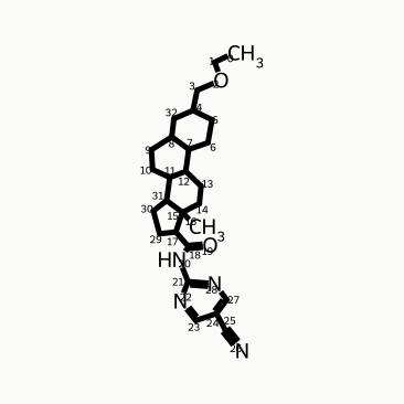 CCOCC1CCC2C(CCC3C2CCC2(C)C(C(=O)Nc4ncc(C#N)cn4)CCC32)C1